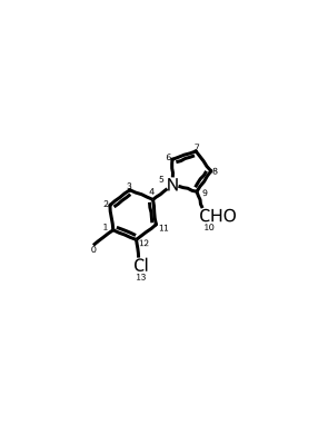 Cc1ccc(-n2cccc2C=O)cc1Cl